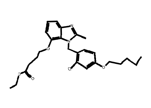 CCCCCOc1ccc(Cn2c(C)nc3cccc(OCCCC(=O)OCC)c32)c(Cl)c1